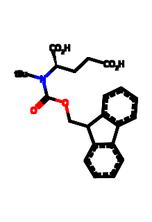 CC(C)(C)N(C(=O)OCC1c2ccccc2-c2ccccc21)[C@@H](CCC(=O)O)C(=O)O